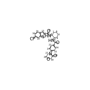 O=C(NC1CCCCC1NC(=O)c1cc2ccc(Cl)cc2s1)c1ccc(N2CCOCC2=O)cc1